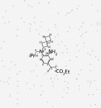 CCOC(=O)CC(C)c1ccc(N(CC(C)C)C2CC3(CCC3)C2)c(N)c1